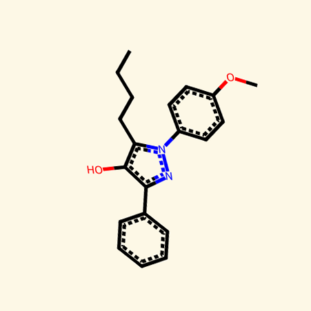 CCCCc1c(O)c(-c2ccccc2)nn1-c1ccc(OC)cc1